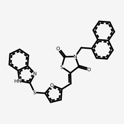 O=C1SC(=Cc2ccc(Sc3nc4ccccc4[nH]3)o2)C(=O)N1Cc1cccc2ccccc12